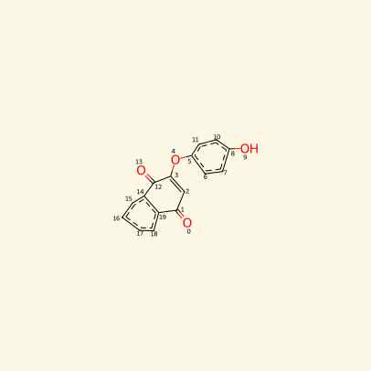 O=C1C=C(Oc2ccc(O)cc2)C(=O)c2ccccc21